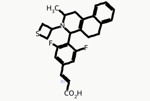 CC1CC2=C(CCc3ccccc32)C(c2c(F)cc(/C=C/C(=O)O)cc2F)N1C1CSC1